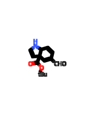 CC(C)(C)OC(=O)C12C=CNC1C=CC(C=O)=C2